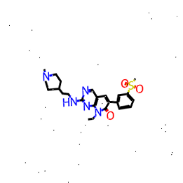 CCn1c(=O)c(-c2cccc(S(C)(=O)=O)c2)cc2cnc(NCCC3CCN(C)CC3)nc21